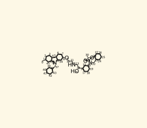 Cc1ccc2c3ccc(OCCNC[C@H](O)c4cccc(N(Cc5ccccc5)S(C)(=O)=O)c4)cc3n(Cc3ccccc3)c2c1